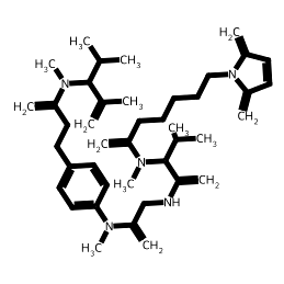 C=C(C)C(C(C)C)N(C)C(=C)CCc1ccc(N(C)C(=C)CNC(=C)C(C(C)C)N(C)C(=C)CCCCCn2c(=C)ccc2=C)cc1